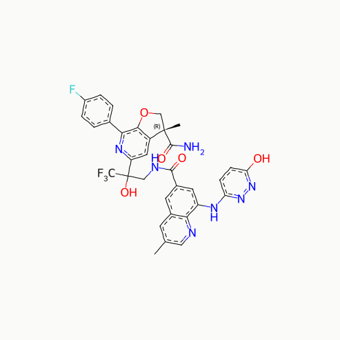 Cc1cnc2c(Nc3ccc(O)nn3)cc(C(=O)NCC(O)(c3cc4c(c(-c5ccc(F)cc5)n3)OC[C@]4(C)C(N)=O)C(F)(F)F)cc2c1